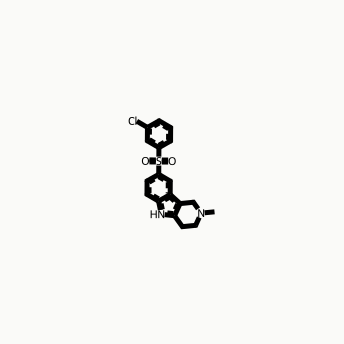 CN1CCc2[nH]c3ccc(S(=O)(=O)c4cccc(Cl)c4)cc3c2C1